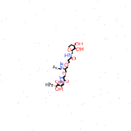 CCC[C@@H](O)[C@@H](O)[C@H](C)CNC(=O)CCOCC(COCCC(=O)NC[C@H]1OCC[C@@H](O)[C@H]1O)NCC(C)=O